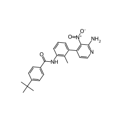 Cc1c(NC(=O)c2ccc(C(C)(C)C)cc2)cccc1-c1ccnc(N)c1[N+](=O)[O-]